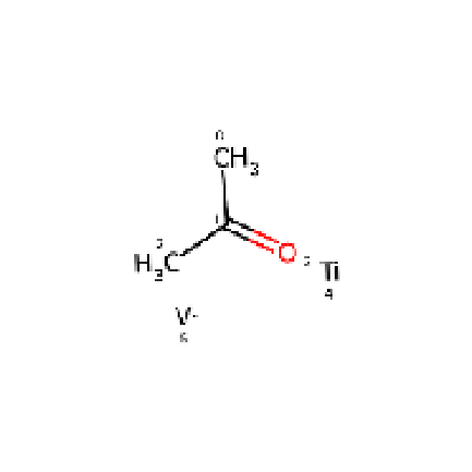 CC(C)=O.[Ti].[V]